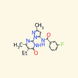 CCc1c(C)nc(-n2nc(C)cc2NC(=O)c2cccc(F)c2)[nH]c1=O